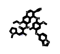 CCOc1cc2ncc(C#N)c(Nc3cc(C)c(Oc4ccn5ncnc5c4)cc3OC)c2cc1NC(=O)/C(F)=C\C1CCCN1C